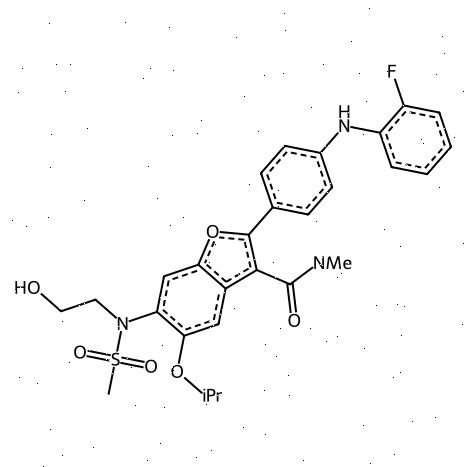 CNC(=O)c1c(-c2ccc(Nc3ccccc3F)cc2)oc2cc(N(CCO)S(C)(=O)=O)c(OC(C)C)cc12